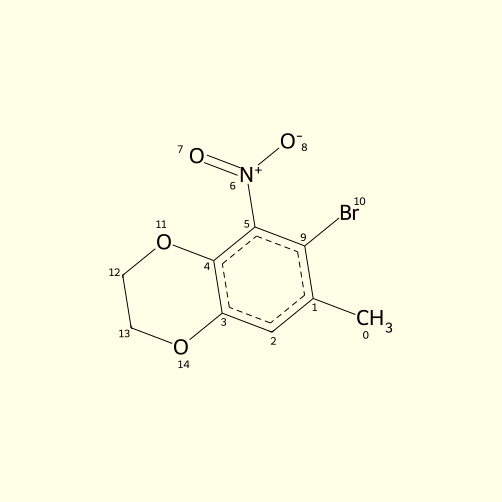 Cc1cc2c(c([N+](=O)[O-])c1Br)OCCO2